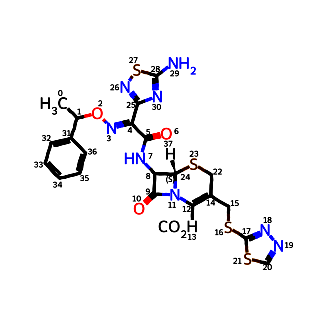 CC(ON=C(C(=O)NC1C(=O)N2C(C(=O)O)=C(CSc3nncs3)CS[C@@H]12)c1nsc(N)n1)c1ccccc1